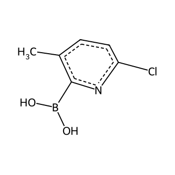 Cc1ccc(Cl)nc1B(O)O